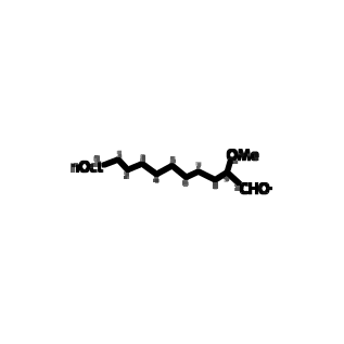 CCCCCCCCCCCCCCCCC([C]=O)OC